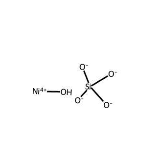 [O-][Si]([O-])([O-])[O-].[OH][Ni+4]